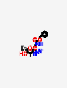 CCC1O[C@H](OCNC(=O)OCc2ccccc2)C(N=[N+]=[N-])[C@@H](C)[C@@H]1O